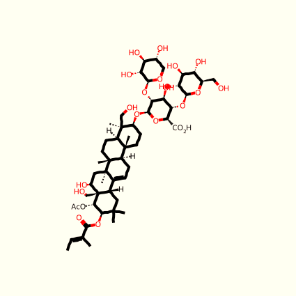 C/C=C(\C)C(=O)O[C@H]1[C@H](OC(C)=O)[C@]2(CO)[C@H](O)C[C@]3(C)C(=CC[C@@H]4[C@@]5(C)CC[C@H](O[C@@H]6O[C@H](C(=O)O)[C@@H](O[C@@H]7O[C@H](CO)[C@@H](O)[C@H](O)[C@H]7O)[C@H](O)[C@H]6O[C@@H]6OC[C@@H](O)[C@H](O)[C@H]6O)[C@](C)(CO)[C@@H]5CC[C@]43C)[C@@H]2CC1(C)C